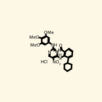 COc1cc(Nc2ncc([N+](=O)[O-])c(Nc3c(C(N)=O)cccc3C3CCCCC3)n2)cc(OC)c1OC.Cl